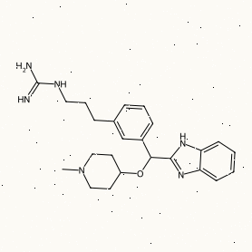 CN1CCC(OC(c2cccc(CCCNC(=N)N)c2)c2nc3ccccc3[nH]2)CC1